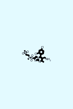 Cc1nc2nc(S(=O)(=O)N(C)CCS(C)(=O)=O)cn2c(-c2ccc(Cl)cc2Cl)c1CN